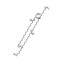 CCCCCCCCCCCCCCCCCC(=O)OCC(O)CO.CCCCCCCCCCCCCCCCOC(=O)CCCCCCCCCCCCCCC